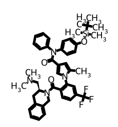 Cc1cc(C(=O)N(c2ccccc2)c2ccc(O[Si](C)(C)C(C)(C)C)cc2)cn1-c1cc(C(F)(F)F)ccc1C(=O)N1Cc2ccccc2C[C@H]1CN(C)C